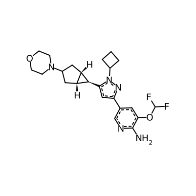 Nc1ncc(-c2cc([C@H]3[C@@H]4CC(N5CCOCC5)C[C@@H]43)n(C3CCC3)n2)cc1OC(F)F